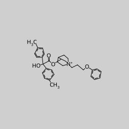 Cc1ccc(C(O)(C(=O)OC2C[N+]3(CCCOc4ccccc4)CCC2CC3)c2ccc(C)cc2)cc1